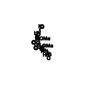 COc1nc(-c2cccc(-c3cccc(-c4cnc(CNC[C@@H]5CCC(=O)N5)c(OC)n4)c3Cl)c2Cl)cnc1CNCCc1ccccn1